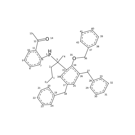 CCCC(C)(Pc1ccccc1C(C)=O)c1cc(Cc2ccccc2)cc(Cc2ccccc2)c1OCc1ccccc1